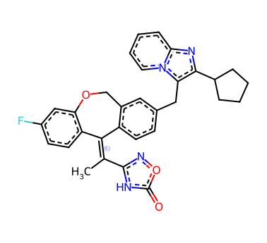 C/C(=C1/c2ccc(Cc3c(C4CCCC4)nc4ccccn34)cc2COc2cc(F)ccc21)c1noc(=O)[nH]1